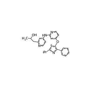 CC(O)Cc1cc(Nc2cc(Oc3sc(C(C)C)nc3-c3ccccc3)ccn2)ccn1